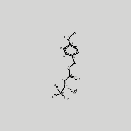 COc1ccc(COC(=O)C[C@H](O)C(F)(F)F)cc1